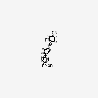 CCCCCCCCCc1cnc(-c2ccc(COc3ccc(C#N)cc3F)cc2)nc1